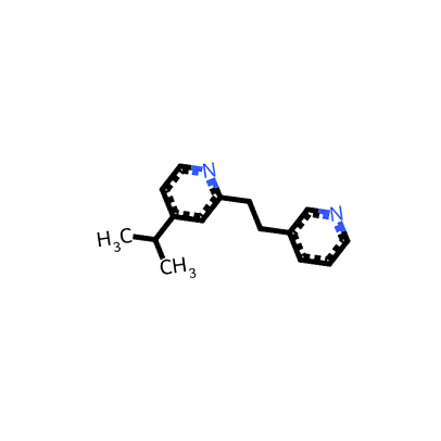 CC(C)c1ccnc(CCc2cccnc2)c1